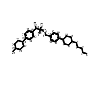 CCCCCC1CCC(c2ccc(COC(F)(F)C(F)c3ccc(C4CCC(C)CC4)cc3)cc2)CC1